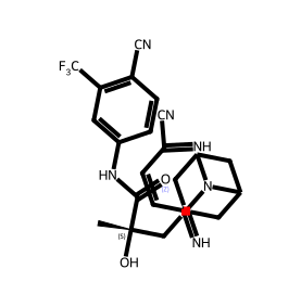 C[C@](O)(CN1CC2CC(C1)N2C(=N)/C=C\C(=N)C#N)C(=O)Nc1ccc(C#N)c(C(F)(F)F)c1